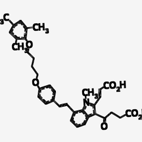 Cc1cc(C)c(OCCCCOc2ccc(C=Cc3cccc4c(C(=O)CCC(=O)O)c(C=CC(=O)O)n(C)c34)cc2)c(C)c1